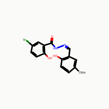 COc1ccc(O)c(/C=N\NC(=O)c2cc(Br)ccc2O)c1